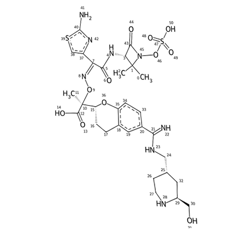 CC1(C)[C@H](NC(=O)/C(=N\O[C@](C)(C(=O)O)[C@H]2CCc3cc(C(=N)NC[C@H]4CCN[C@H](CO)C4)ccc3O2)c2csc(N)n2)C(=O)N1OS(=O)(=O)O